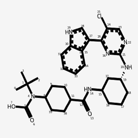 CC(C)(C)N(C(=O)O)C1CCC(C(=O)NC2CCC[C@@H](Nc3ncc(Cl)c(-c4c[nH]c5ccccc45)n3)C2)CC1